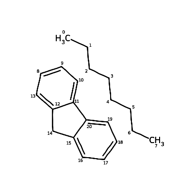 CCCCCCCC.c1ccc2c(c1)Cc1ccccc1-2